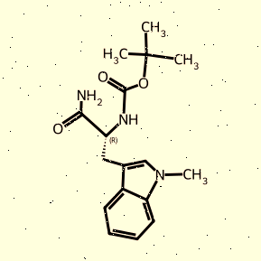 Cn1cc(C[C@@H](NC(=O)OC(C)(C)C)C(N)=O)c2ccccc21